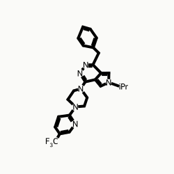 CC(C)n1cc2c(Cc3ccccc3)nnc(N3CCN(c4ccc(C(F)(F)F)cn4)CC3)c2c1